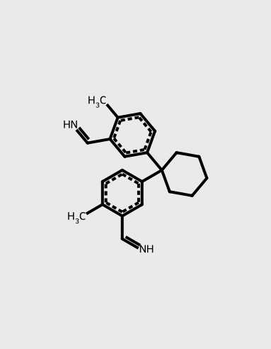 Cc1ccc(C2(c3ccc(C)c(C=N)c3)CCCCC2)cc1C=N